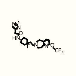 Cn1ncc(CC(=O)N[C@H]2CC[C@](F)(CCN3CCc4ccc(OCC(F)(F)F)nc4CC3)CC2)n1